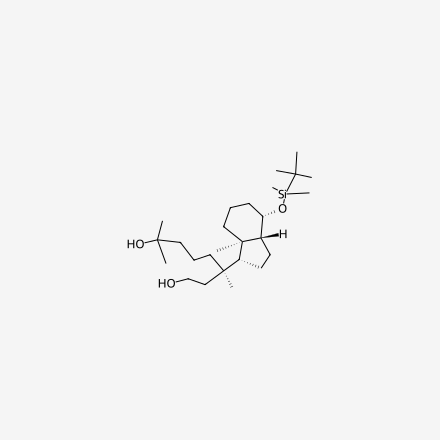 CC(C)(O)CCC[C@](C)(CCO)[C@H]1CC[C@H]2[C@@H](O[Si](C)(C)C(C)(C)C)CCC[C@]12C